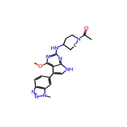 COc1nc(NC2CCN(C(C)=O)CC2)nc2[nH]cc(-c3ccc4nnn(C)c4c3)c12